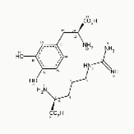 N=C(N)NCCC[C@H](N)C(=O)O.N[C@@H](Cc1ccc(O)c(O)c1)C(=O)O